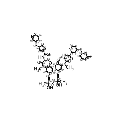 CN1C(=O)C(NC(=O)c2cc(Cc3cccc(F)n3)ccn2)COc2ccc(C#CC(C)(O)CCC(C)(O)C#Cc3ccc4c(c3)N(C)C(=O)C(NC(=O)n3cc(Cc5cccnc5)cn3)CO4)cc21